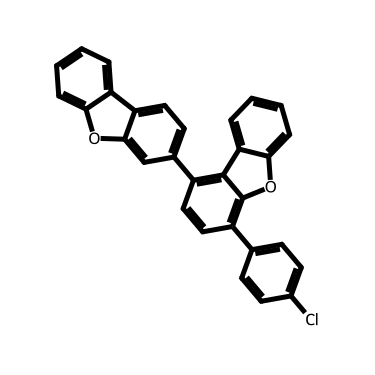 Clc1ccc(-c2ccc(-c3ccc4c(c3)oc3ccccc34)c3c2oc2ccccc23)cc1